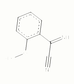 COc1ccccc1C(=N)C#N